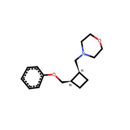 c1ccc(OC[C@@H]2CC[C@@H]2CN2CCOCC2)cc1